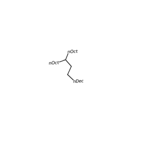 CCCCCCCCCCCC[C](CCCCCCCC)CCCCCCCC